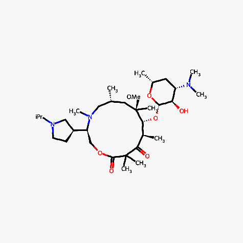 CO[C@]1(C)C[C@@H](C)CN(C)[C@H]([C@H]2CCN(C(C)C)C2)COC(=O)C(C)(C)C(=O)[C@H](C)[C@H]1O[C@@H]1O[C@H](C)C[C@H](N(C)C)[C@H]1O